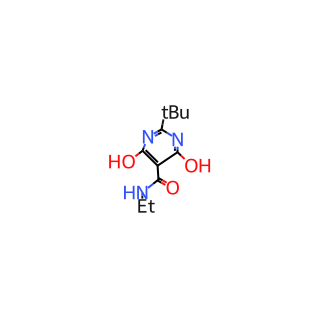 CCNC(=O)c1c(O)nc(C(C)(C)C)nc1O